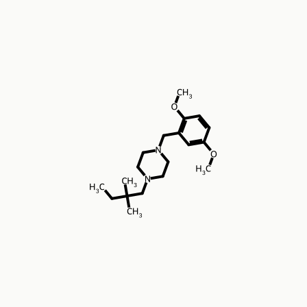 CCC(C)(C)CN1CCN(Cc2cc(OC)ccc2OC)CC1